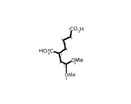 COC(CC(CCCC(=O)O)C(=O)O)OC